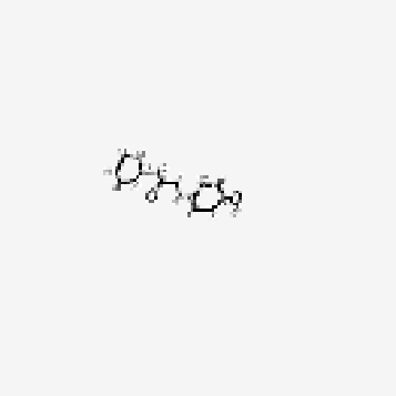 COc1ccc(CCC(=O)CC2CC=CCC2)cc1